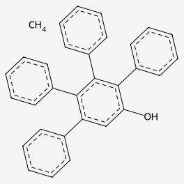 C.Oc1cc(-c2ccccc2)c(-c2ccccc2)c(-c2ccccc2)c1-c1ccccc1